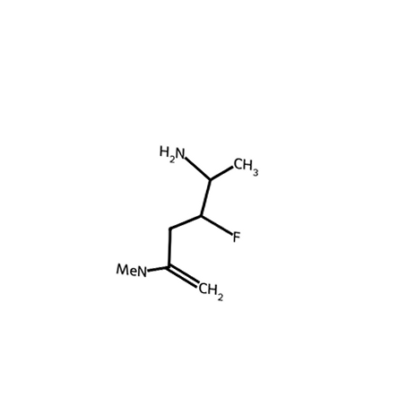 C=C(CC(F)C(C)N)NC